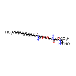 O=[C]CC[C@H](NC(=O)CCC(=O)NCCCOCCOCCCNC(=O)CCCCCCCCCCCCCCCCC(=O)O)C(=O)O